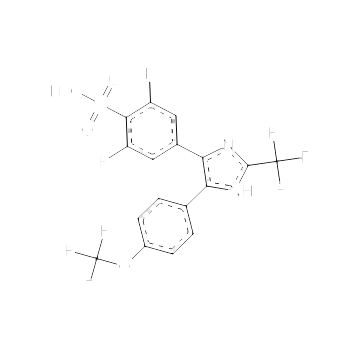 CS(=O)(=O)c1c(F)cc(-c2nc(C(F)(F)F)[nH]c2-c2ccc(OC(F)(F)F)cc2)cc1F